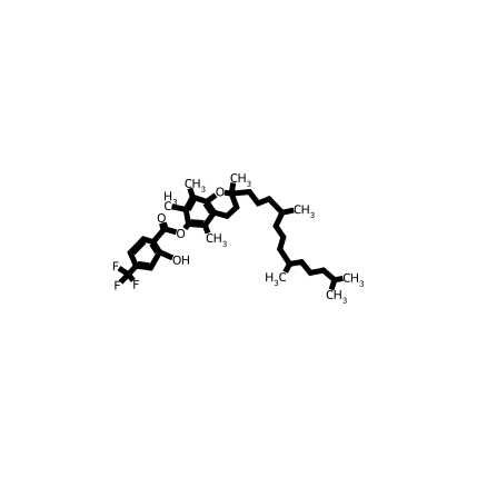 Cc1c(C)c2c(c(C)c1OC(=O)c1ccc(C(F)(F)F)cc1O)CCC(C)(CCCC(C)CCCC(C)CCCC(C)C)O2